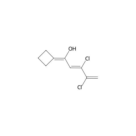 C=C(Cl)/C(Cl)=C/C(O)=C1CCC1